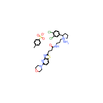 Cc1ccc(S(=O)(=O)[O-])cc1.N[N+]1(CCCNC(=O)CCc2nc3nc(N4CCOCC4)ccc3s2)CCCC1c1ccc(Cl)c(Cl)c1